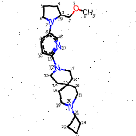 COC[C@@H]1CCCN1c1ccc(N2CCC3(CC2)CCN(C2CCC2)CC3)nc1